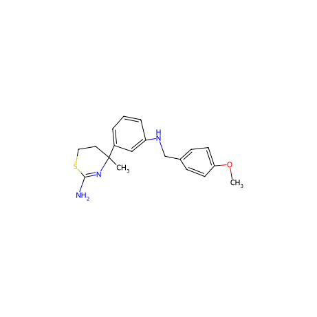 COc1ccc(CNc2cccc(C3(C)CCSC(N)=N3)c2)cc1